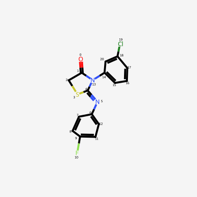 O=C1CS/C(=N\c2ccc(F)cc2)N1c1cccc(Cl)c1